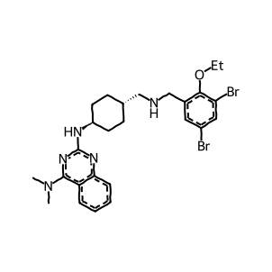 CCOc1c(Br)cc(Br)cc1CNC[C@H]1CC[C@H](Nc2nc(N(C)C)c3ccccc3n2)CC1